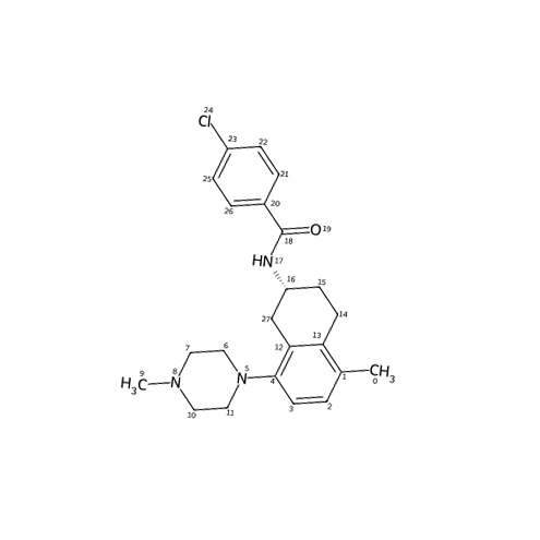 Cc1ccc(N2CCN(C)CC2)c2c1CC[C@@H](NC(=O)c1ccc(Cl)cc1)C2